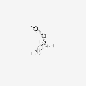 CS(=O)(=O)N1CCN(c2[nH]c(-c3ccnc(/C=C/c4ccc(F)cc4)c3)cc2C(N)=O)CC1